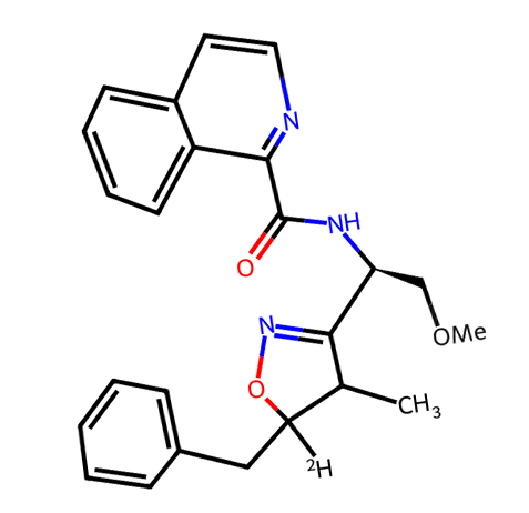 [2H]C1(Cc2ccccc2)ON=C([C@H](COC)NC(=O)c2nccc3ccccc23)C1C